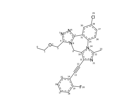 CCOCc1nnc2n1Cc1c(C#Cc3ccccc3F)nc(C)n1-c1ccc(Cl)cc1-2